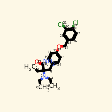 CCN(CC)C(CC)(Cc1ccc(OCc2ccc(Cl)c(Cl)c2)cc1)C(N)=O